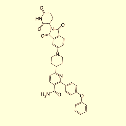 NC(=O)c1ccc(C2CCN(c3ccc4c(c3)C(=O)N(C3CCC(=O)NC3=O)C4=O)CC2)nc1-c1ccc(Oc2ccccc2)cc1